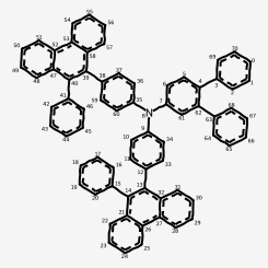 c1ccc(-c2ccc(N(c3ccc(-c4c(-c5ccccc5)c5ccccc5c5ccccc45)cc3)c3ccc(-c4c(-c5ccccc5)c5ccccc5c5ccccc45)cc3)cc2-c2ccccc2)cc1